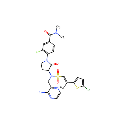 CC(=CS(=O)(=O)N(Cc1nccnc1N)[C@H]1CCN(c2ccc(C(=O)N(C)C)cc2F)C1=O)c1ccc(Cl)s1